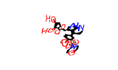 COc1ccc(-c2ccnc3c2c(C=C2Oc4cc(O)cc(O)c4C2=O)cn3C)cc1S(=O)(=O)N1CCOCC1